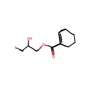 O=C(OCC(O)CI)C1=CCCCC1